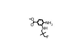 COC(=O)c1ccc(N)c(NCC(C)(C)CF)c1